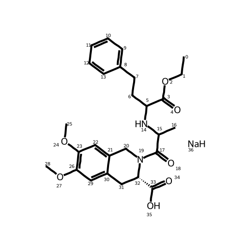 CCOC(=O)C(CCc1ccccc1)NC(C)C(=O)N1Cc2cc(OC)c(OC)cc2C[C@H]1C(=O)O.[NaH]